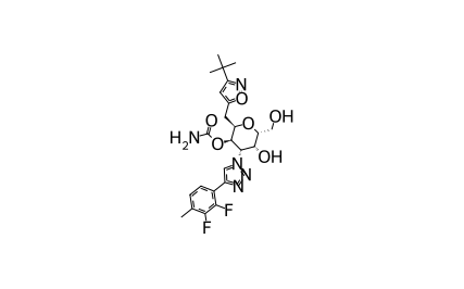 Cc1ccc(-c2cn([C@H]3[C@@H](O)[C@@H](CO)O[C@H](Cc4cc(C(C)(C)C)no4)[C@@H]3OC(N)=O)nn2)c(F)c1F